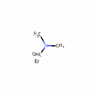 CN(C)C=O.[Er]